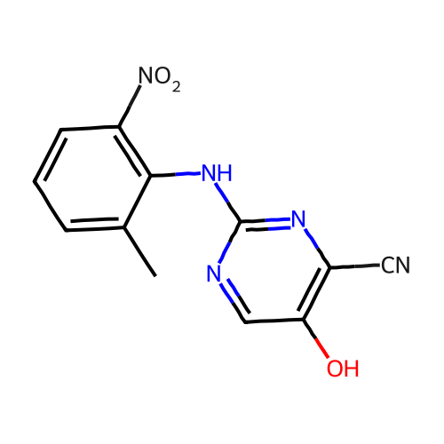 Cc1cccc([N+](=O)[O-])c1Nc1ncc(O)c(C#N)n1